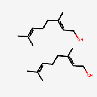 CC(C)=CCCC(C)=CCO.CC(C)=CCCC(C)=CCO